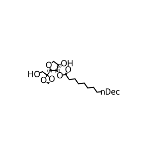 CCCCCCCCCCCCCCCCCC(=O)O[C@@H]1[C@@H](O)CO[C@@H]1C1(CO)OCO1